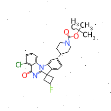 CC(C)(C)OC(=O)N1CCC(c2ccc3c(c2)-n2c(nc(=O)c4c(Cl)cccc42)C32CC(F)C2)CC1